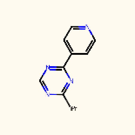 CC(C)c1ncnc(-c2ccncc2)n1